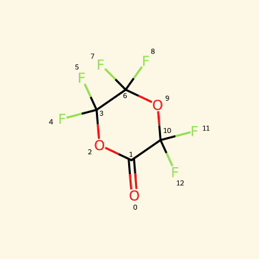 O=C1OC(F)(F)C(F)(F)OC1(F)F